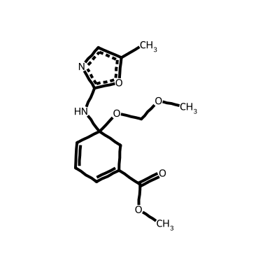 COCOC1(Nc2ncc(C)o2)C=CC=C(C(=O)OC)C1